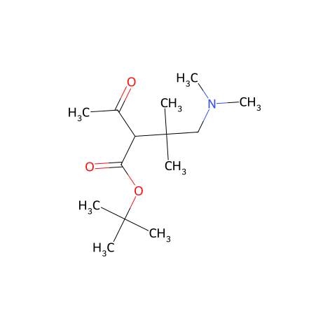 CC(=O)C(C(=O)OC(C)(C)C)C(C)(C)CN(C)C